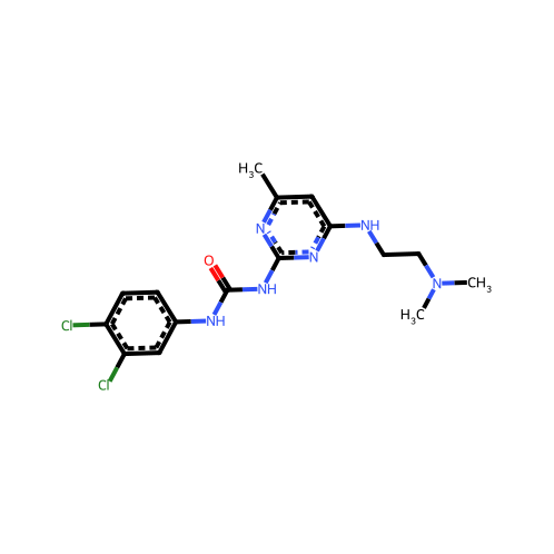 Cc1cc(NCCN(C)C)nc(NC(=O)Nc2ccc(Cl)c(Cl)c2)n1